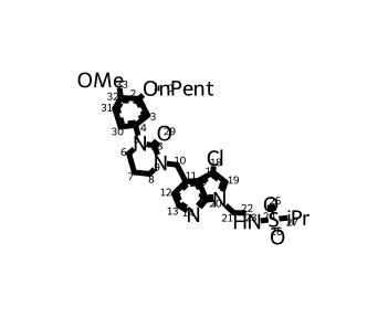 CCCCCOc1cc(N2CCCN(Cc3ccnc4c3c(Cl)cn4CCNS(=O)(=O)C(C)C)C2=O)ccc1OC